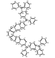 c1ccc(N(c2ccc3cc4c(cc3c2)oc2ccc3oc5cc6cc(N(c7ccccc7)c7ccc8c(c7)c7ccccc7n8-c7ccccc7)ccc6cc5c3c24)c2ccc3c(c2)c2ccccc2n3-c2ccccc2)cc1